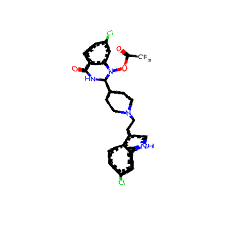 O=C1NC(C2CCN(CCc3c[nH]c4cc(Cl)ccc34)CC2)N(OC(=O)C(F)(F)F)c2cc(Cl)ccc21